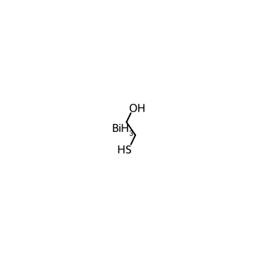 OCCS.[BiH3]